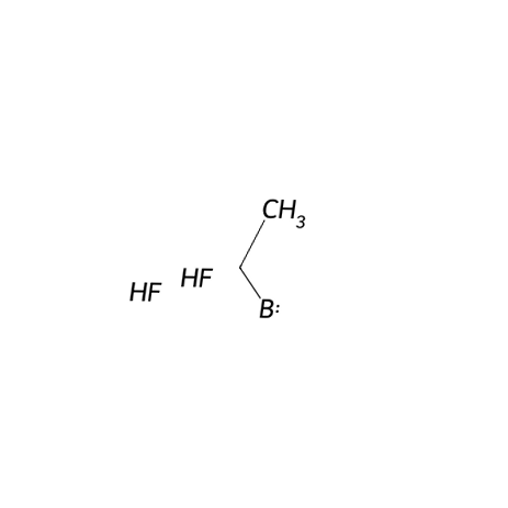 F.F.[B]CC